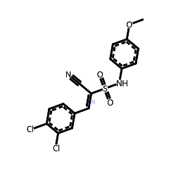 COc1ccc(NS(=O)(=O)/C(C#N)=C/c2ccc(Cl)c(Cl)c2)cc1